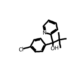 CC(C)(C)C(O)(c1ccc(Cl)cc1)c1ccccn1